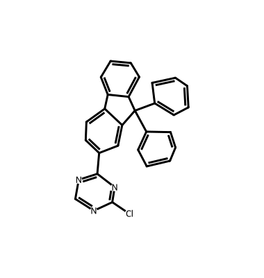 Clc1ncnc(-c2ccc3c(c2)C(c2ccccc2)(c2ccccc2)c2ccccc2-3)n1